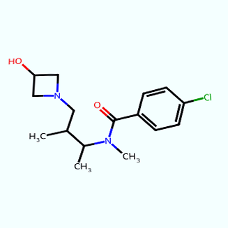 CC(CN1CC(O)C1)C(C)N(C)C(=O)c1ccc(Cl)cc1